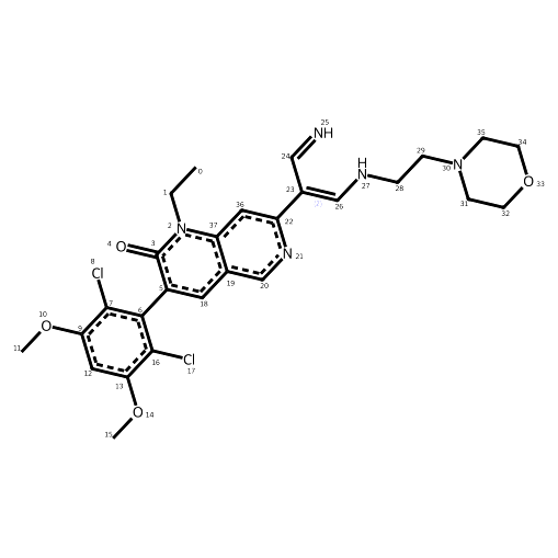 CCn1c(=O)c(-c2c(Cl)c(OC)cc(OC)c2Cl)cc2cnc(/C(C=N)=C/NCCN3CCOCC3)cc21